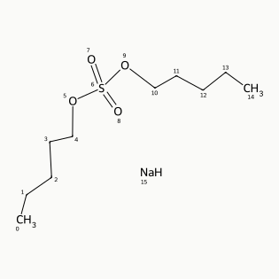 CCCCCOS(=O)(=O)OCCCCC.[NaH]